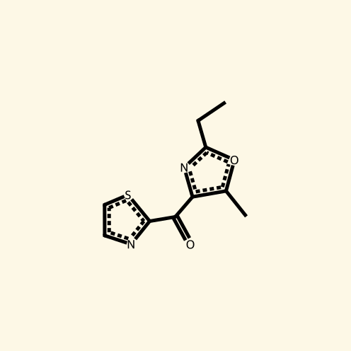 CCc1nc(C(=O)c2nccs2)c(C)o1